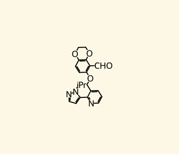 CC(C)n1nccc1-c1ncccc1COc1ccc2c(c1C=O)OCCO2